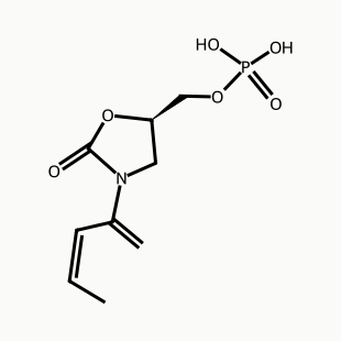 C=C(/C=C\C)N1C[C@H](COP(=O)(O)O)OC1=O